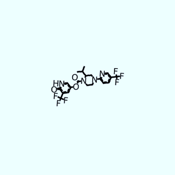 CC(C)C1CN(c2ccc(C(F)(F)F)cn2)CCN1C(=O)Oc1c[nH]c(=O)c(C(F)(F)F)c1